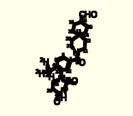 [2H]C([2H])([2H])c1ccc(C(=O)N2CCC3(CCC(C=O)CC3)CC2)cc1N1CCC(=O)NC1=O